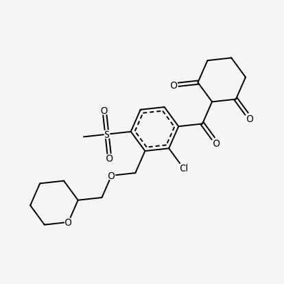 CS(=O)(=O)c1ccc(C(=O)C2C(=O)CCCC2=O)c(Cl)c1COCC1CCCCO1